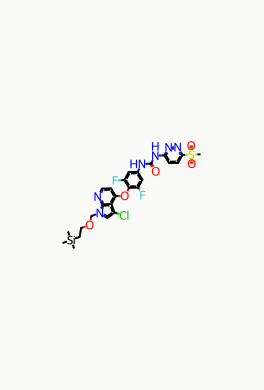 C[Si](C)(C)CCOCn1cc(Cl)c2c(Oc3c(F)cc(NC(=O)Nc4ccc(S(C)(=O)=O)nn4)cc3F)ccnc21